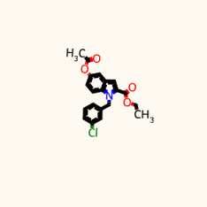 CCOC(=O)c1cc2cc(OC(C)=O)ccc2n1Cc1cccc(Cl)c1